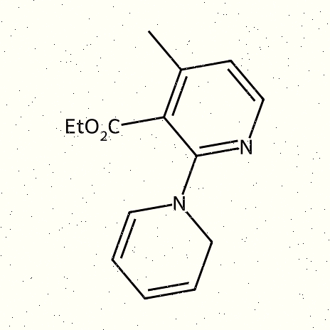 CCOC(=O)c1c(C)ccnc1N1C=CC=CC1